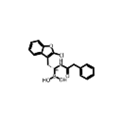 O=C(Cc1ccccc1)N[C@@H](Cc1c(Cl)oc2ccccc12)B(O)O